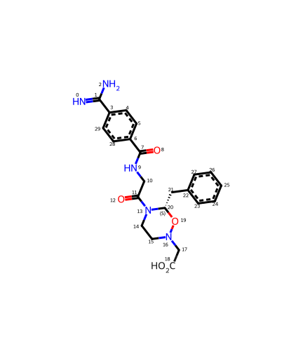 N=C(N)c1ccc(C(=O)NCC(=O)N2CCN(CC(=O)O)O[C@H]2Cc2ccccc2)cc1